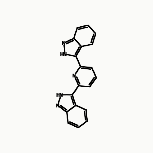 c1cc(-c2[nH]nc3ccccc23)nc(-c2[nH]nc3ccccc23)c1